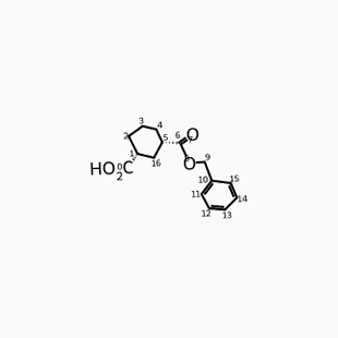 O=C(O)[C@@H]1CCC[C@H](C(=O)OCc2ccccc2)C1